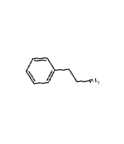 PCCc1ccccc1